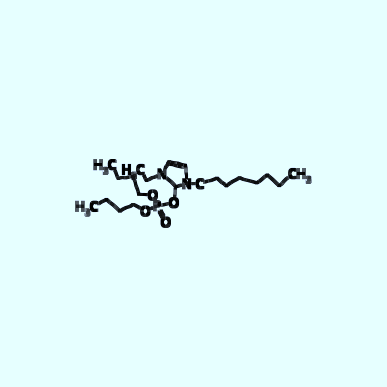 CCCCCCCCN1C=CN(CC)C1OP(=O)(OCCCC)OCCCC